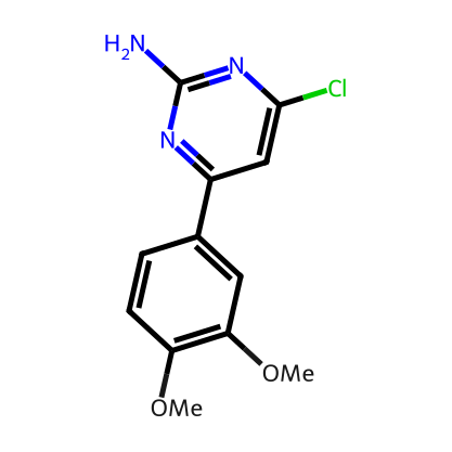 COc1ccc(-c2cc(Cl)nc(N)n2)cc1OC